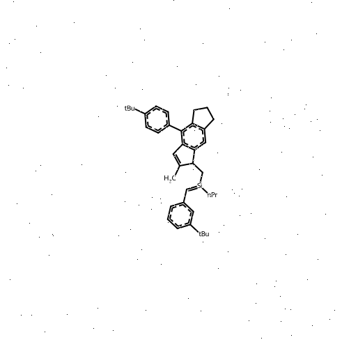 CCC[Si](=Cc1cccc(C(C)(C)C)c1)CC1C(C)=Cc2c1cc1c(c2-c2ccc(C(C)(C)C)cc2)CCC1